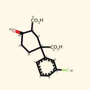 O=C(O)C1CC(C(=O)O)(c2cccc(F)c2)CCC1=O